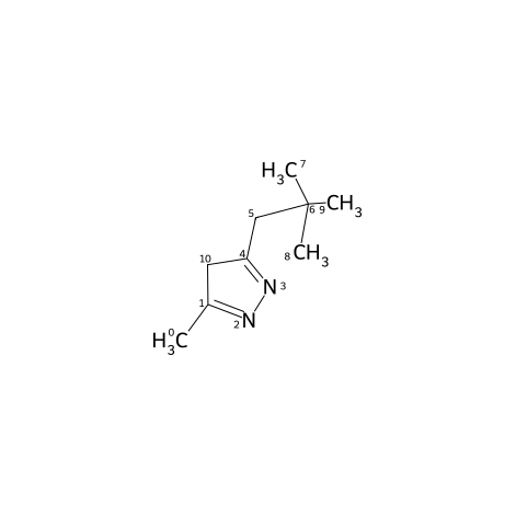 CC1=NN=C(CC(C)(C)C)C1